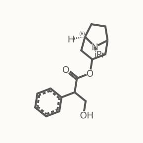 CC(C)N1C2CC[C@@H]1CC(OC(=O)C(CO)c1ccccc1)C2